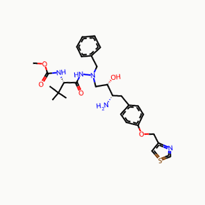 COC(=O)N[C@H](C(=O)NN(Cc1ccccc1)C[C@H](O)[C@@H](N)Cc1ccc(OCc2cscn2)cc1)C(C)(C)C